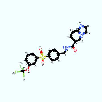 O=C(NCc1ccc(S(=O)(=O)c2cccc(OC(F)(F)F)c2)cc1)c1ccc2nccn2c1